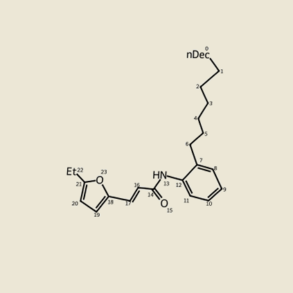 CCCCCCCCCCCCCCCCc1ccccc1NC(=O)C=Cc1ccc(CC)o1